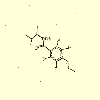 CCCc1c(F)c(F)c(C(=O)NC(C)C(C)C)c(F)c1F